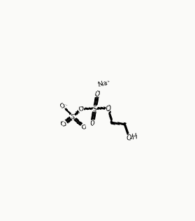 O=S(=O)([O-])OS(=O)(=O)OCCO.[Na+]